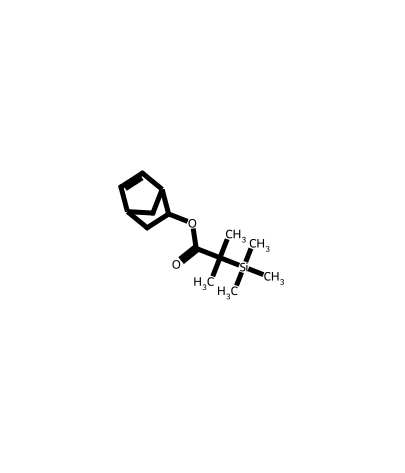 CC(C)(C(=O)OC1CC2C=CC1C2)[Si](C)(C)C